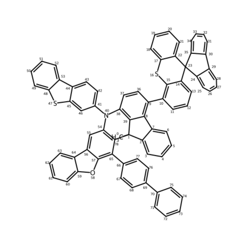 CC12c3ccccc3-c3c(-c4cccc5c4Sc4ccccc4C54c5ccccc5-c5ccccc54)ccc(c31)N(c1ccc3c(c1)sc1ccccc13)c1cc3c(oc4ccccc43)c(-c3ccc(-c4ccccc4)cc3)c12